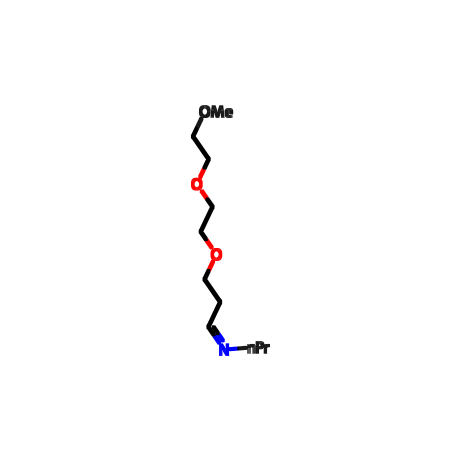 CCC/N=C\CCOCCOCCOC